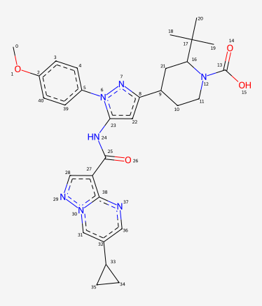 COc1ccc(-n2nc(C3CCN(C(=O)O)C(C(C)(C)C)C3)cc2NC(=O)c2cnn3cc(C4CC4)cnc23)cc1